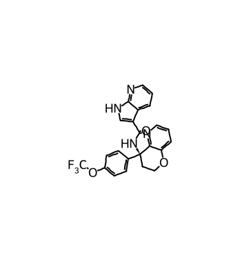 O=C(N[C@]1(c2ccc(OC(F)(F)F)cc2)CCOc2cccnc21)c1c[nH]c2ncccc12